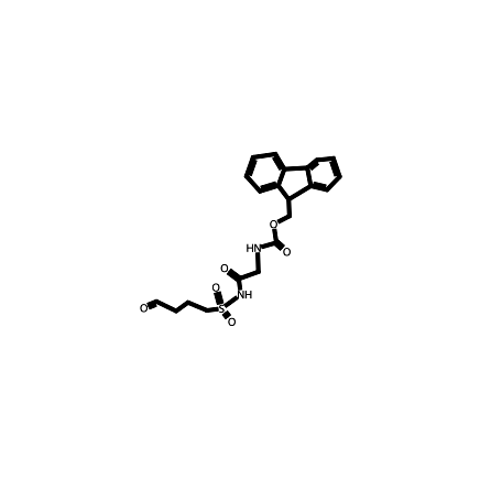 O=[C]CCCS(=O)(=O)NC(=O)CNC(=O)OCC1c2ccccc2-c2ccccc21